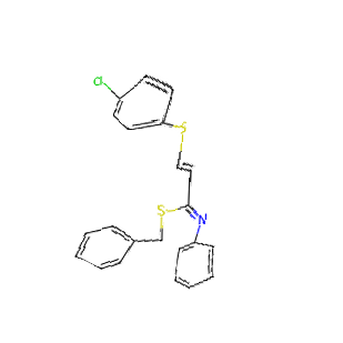 Clc1ccc(SC=CC(=Nc2ccccc2)SCc2ccccc2)cc1